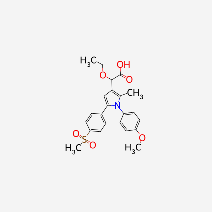 CCOC(C(=O)O)c1cc(-c2ccc(S(C)(=O)=O)cc2)n(-c2ccc(OC)cc2)c1C